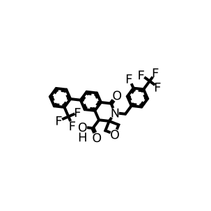 O=C(O)C1c2cc(-c3ccccc3C(F)(F)F)ccc2C(=O)N(Cc2ccc(C(F)(F)F)c(F)c2)C12COC2